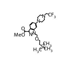 COC(=O)c1nn(COCC[Si](C)(C)C)c2cc(N3CCN(CC(F)(F)F)CC3)ccc12